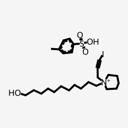 Cc1ccc(S(=O)(=O)O)cc1.OCCCCCCCCCCC[N+]1(CC#CI)CCCCC1